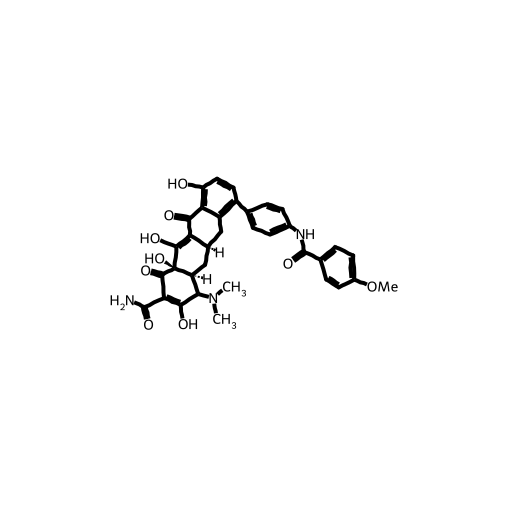 COc1ccc(C(=O)Nc2ccc(-c3ccc(O)c4c3C[C@H]3C[C@H]5C(N(C)C)C(O)=C(C(N)=O)C(=O)[C@]5(O)C(O)=C3C4=O)cc2)cc1